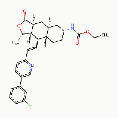 CCOC(=O)N[C@@H]1CC[C@H]2[C@H](C1)C[C@@H]1C(=O)O[C@@H](C)[C@H]1[C@@H]2/C=C/c1ccc(-c2cccc(F)c2)cn1